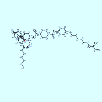 C=CC(=O)OCCCCCCOc1ccc(OC(=O)[C@H]2CC[C@H](C(=O)Oc3ccc(OC=O)cc3/C=N\N(CCCCCC)c3nc4ccccc4s3)CC2)cc1